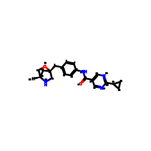 O=C(Nc1ccc(C[C@]23CN[C@H](CO2)C3)cc1)c1cnc(C2CC2)nc1